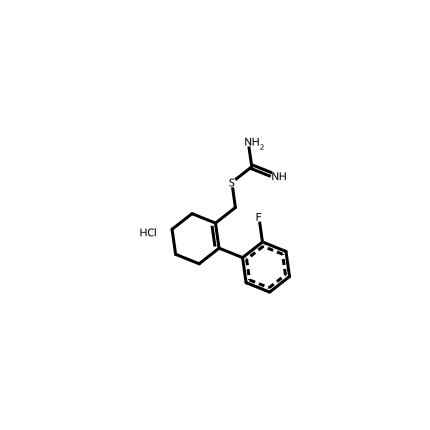 Cl.N=C(N)SCC1=C(c2ccccc2F)CCCC1